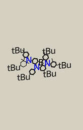 Cc1cc(C(C)(C)C)ccc1N1c2ccc(C(C)(C)C)cc2B2c3ccc(N4c5ccc(C(C)(C)C)cc5C5(C)CC(C(C)(C)C)CCC45C)cc3N(c3ccc(C(C)(C)C)cc3)c3cc(C(C)(C)C)cc1c32